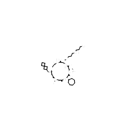 CCC[C@H]1C(=O)N[C@@H](C2CCCCCC2)C(=O)N[C@@H](CN)C(=O)N[C@@H](COCCCNCCCN)C(=O)N[C@H](C)CO[C@H](CC2CC3(CCC3)C2)[C@@H](C)C(=O)N1C